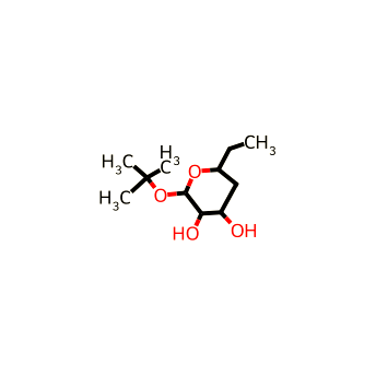 CCC1CC(O)C(O)C(OC(C)(C)C)O1